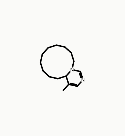 CC1=CN=CN2CCCCCCCCCCC12